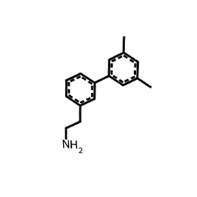 Cc1cc(C)cc(-c2cccc(CCN)c2)c1